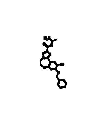 C/C(N)=N/C(=O)c1cn2c(n1)-c1cc(Br)c(OCc3ccccc3)cc1OCC2